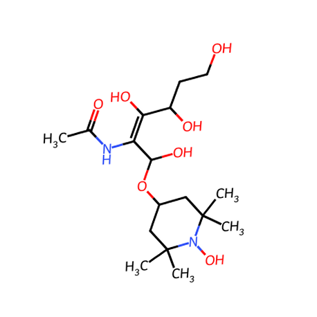 CC(=O)N/C(=C(\O)C(O)CCO)C(O)OC1CC(C)(C)N(O)C(C)(C)C1